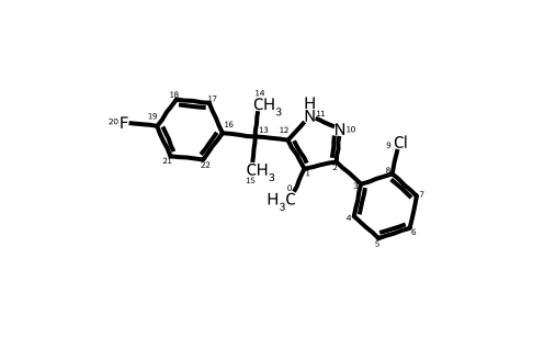 Cc1c(-c2ccccc2Cl)n[nH]c1C(C)(C)c1ccc(F)cc1